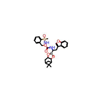 CC1(C)C2CC3OB(C(Cc4coc5ccccc45)NC(=O)OCc4ccccc4S(C)(=N)=O)OC3C1C2